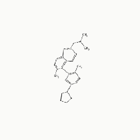 Cc1ccc(C2CCCC2)cc1-c1c2ccc(CC(C)C)cc2cc[n+]1C